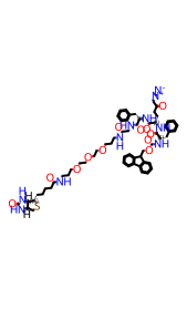 [N-]=[N+]=CC(=O)CC[C@H](NC(=O)[C@H](Cc1ccccc1)NC(=O)OCC1c2ccccc2-c2ccccc21)C(=O)N[C@@H](Cc1ccccc1)C(=O)NCC(=O)NCCCOCCOCCOCCCNC(=O)CCCC[C@@H]1SC[C@@H]2NC(=O)N[C@@H]21